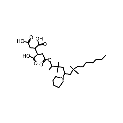 CCCCCCCC(C)(C)CC(CC(C)(C)C(C)OC(=O)CC(C(=O)O)C(CC(=O)O)C(=O)O)N1CCCCC1